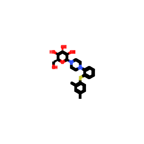 Cc1ccc(Sc2ccccc2N2CCN([C@H]3O[C@H](CO)[C@@H](O)[C@H](O)[C@H]3O)CC2)c(C)c1